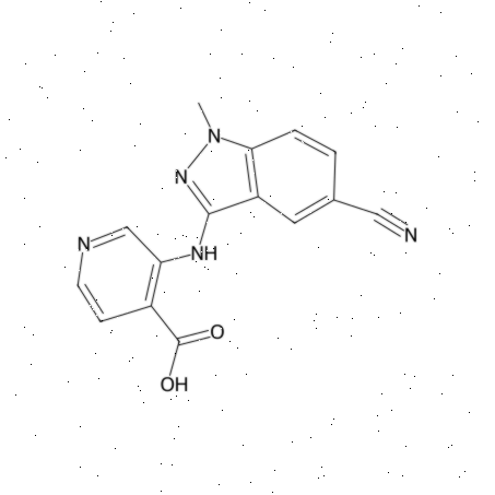 Cn1nc(Nc2cnccc2C(=O)O)c2cc(C#N)ccc21